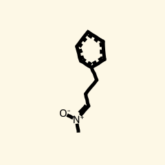 C[N+]([O-])=CCCc1ccccc1